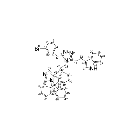 Brc1cccc(Cc2nnc(CCc3c[nH]c4ccccc34)n2CCCc2cncn2C(c2ccccc2)(c2ccccc2)c2ccccc2)c1